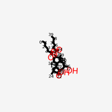 CCCCCC(=O)O[C@@H]1[C@@H](C)[C@@]2(C)[C@@H](C=C(CO)C[C@]3(O)C(=O)C(C)=C[C@@H]23)C(C)(C)[C@]1(C)OC(=O)CCCCC